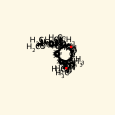 C=CC(=O)N(C)CCN1CCN(C(=O)N(C)C(C(=O)N[C@H]2Cc3cccc(c3)-c3ccc4c(c3)c(c(-c3cccnc3[C@H](C)OC)n4CC)CC(C)(C)COC(=O)[C@@H]3CCCN(N3)C2=O)C(C)C)CC1